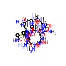 CNC(=O)c1ccccc1Sc1ccc2c(/C=C/c3ccccn3)nn(C(=O)NC3(CNC(=O)OCc4ccc(NC(=O)C(CCCNC(N)=O)NC(=O)[C@H](NC(=O)CCC(=O)NC(C(=O)NC(CCN)C(=O)NC5CCNC(=O)C([C@H](C)O)NC(=O)C(CCN)NC(=O)[C@H](CCN)NC(=O)[C@H](CC(C)C)NC(=O)CNC(=O)[C@H](CCN)NC5=O)C(C)O)C(C)C)cc4)CCC3)c2c1